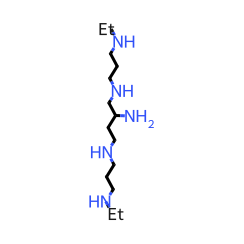 CCNCCCNCCC(N)CNCCCNCC